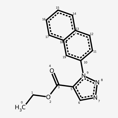 CCOC(=O)c1cnnn1-c1ccc2ccccc2c1